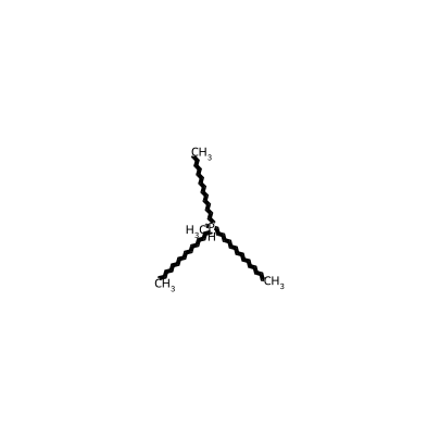 CCCCCCCCCCCCCCCCC[PH](CC)(CCCCCCCCCCCCCCCCC)CCCCCCCCCCCCCCCCC